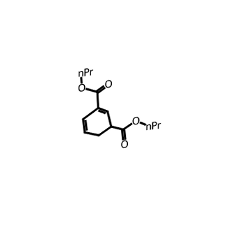 CCCOC(=O)C1=CC(C(=O)OCCC)CC=C1